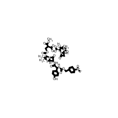 COC(=O)C(COC(=O)[C@@H]1N2C(=O)[C@@H](NC(=O)C(NC(=O)OCc3ccc([N+](=O)[O-])cc3)c3ccc(O)cc3)[C@H]2SC1(C)C)C(=O)OOC(=O)[C@@H]1N2C(=O)C[C@H]2S(=O)(=O)C1(C)C